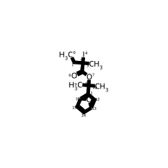 CCC(C)(I)C(=O)OC(C)(C)c1cc2ccc1o2